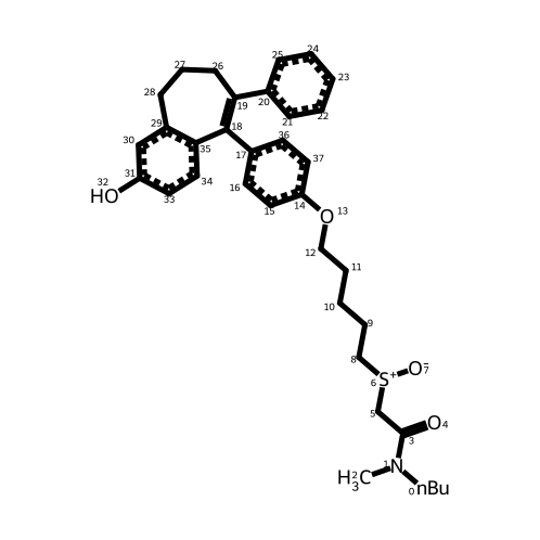 CCCCN(C)C(=O)C[S+]([O-])CCCCCOc1ccc(C2=C(c3ccccc3)CCCc3cc(O)ccc32)cc1